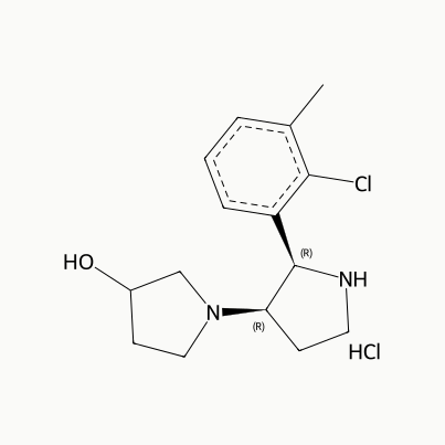 Cc1cccc([C@H]2NCC[C@H]2N2CCC(O)C2)c1Cl.Cl